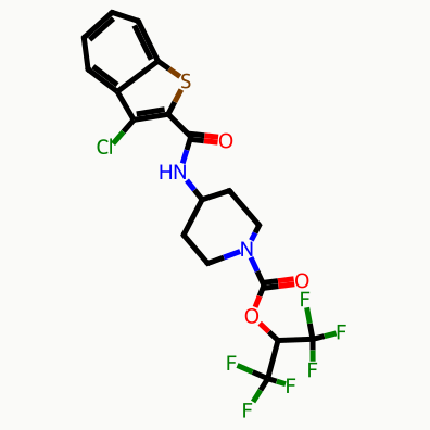 O=C(NC1CCN(C(=O)OC(C(F)(F)F)C(F)(F)F)CC1)c1sc2ccccc2c1Cl